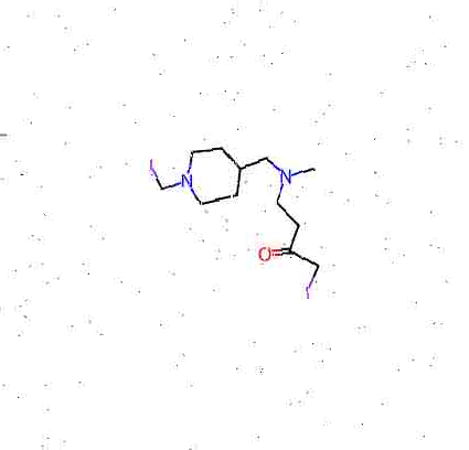 CN(CCC(=O)CI)CC1CCN(CI)CC1